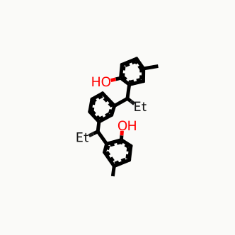 CCC(c1cccc(C(CC)c2cc(C)ccc2O)c1)c1cc(C)ccc1O